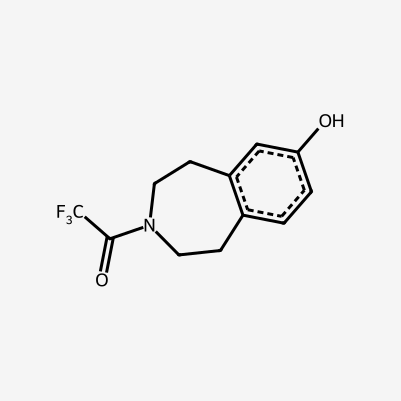 O=C(N1CCc2ccc(O)cc2CC1)C(F)(F)F